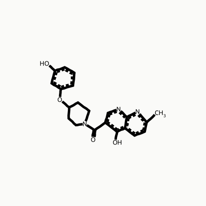 Cc1ccc2c(O)c(C(=O)N3CCC(Oc4cccc(O)c4)CC3)cnc2n1